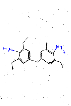 CCc1cc(Cc2cc(CC)c(N)c(CC)c2)cc(C)c1N